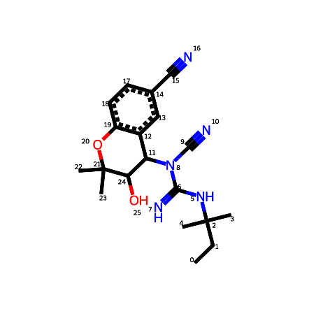 CCC(C)(C)NC(=N)N(C#N)C1c2cc(C#N)ccc2OC(C)(C)C1O